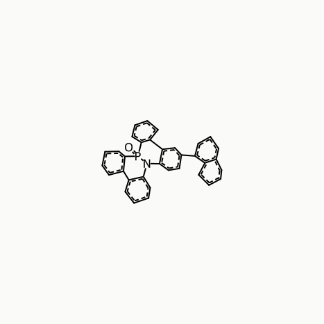 O=P12c3ccccc3-c3ccccc3N1c1ccc(-c3cccc4ccccc34)cc1-c1ccccc12